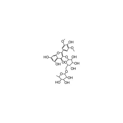 COc1cc(-c2oc3cc(O)cc(O)c3c(=O)c2O[C@@H]2OC(CO[C@@H]3OC(C)[C@H](O)[C@H](O)C3O)[C@@H](O)C(O)C2O)cc(OC)c1O